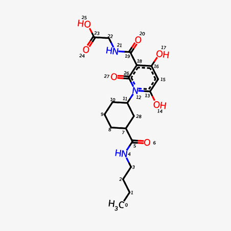 CCCCNC(=O)C1CCCC(n2c(O)cc(O)c(C(=O)NCC(=O)O)c2=O)C1